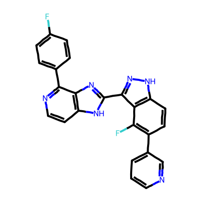 Fc1ccc(-c2nccc3[nH]c(-c4n[nH]c5ccc(-c6cccnc6)c(F)c45)nc23)cc1